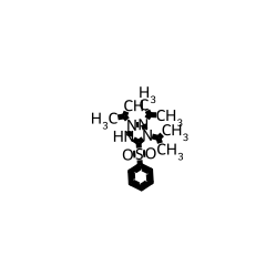 CC(C)N1NC(S(=O)(=O)c2ccccc2)N(C(C)C)N1C(C)C